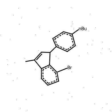 CCCCc1ccc(C2C=C(C)c3cccc(Br)c32)cc1